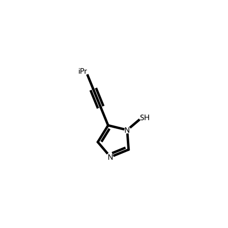 CC(C)C#Cc1cncn1S